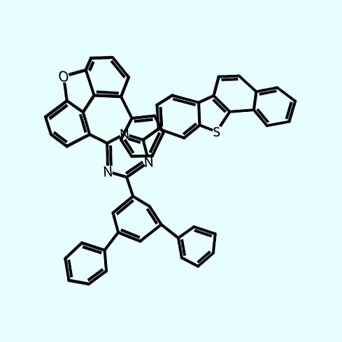 c1ccc(-c2cc(-c3ccccc3)cc(-c3nc(-c4ccc5c(c4)sc4c6ccccc6ccc54)nc(-c4cccc5oc6cccc(-c7ccccc7)c6c45)n3)c2)cc1